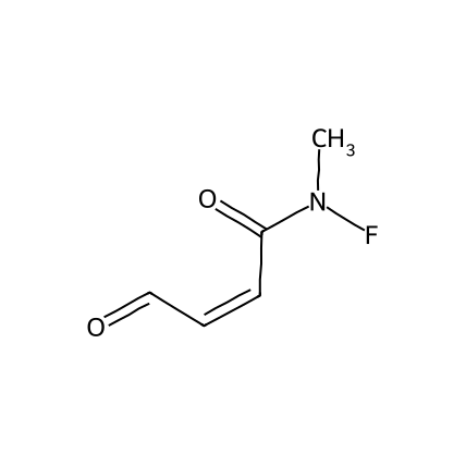 CN(F)C(=O)/C=C\C=O